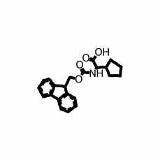 O=C(NC(C(=O)O)C1CCCC1)OCC1c2ccccc2-c2ccccc21